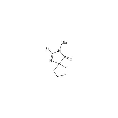 CCC1=NC2(CCCC2)C(=O)N1C(C)(C)C